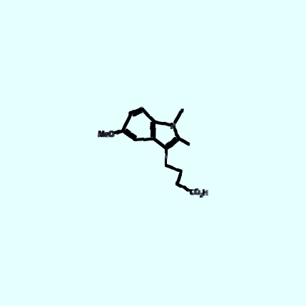 COc1ccc2c(c1)c(CCCC(=O)O)c(C)n2C